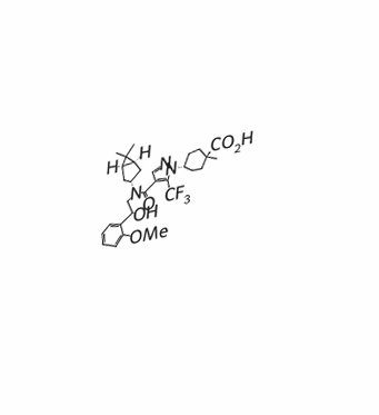 COc1ccccc1C(O)CN(C(=O)c1cnn([C@H]2CC[C@](C)(C(=O)O)CC2)c1C(F)(F)F)[C@@H]1C[C@@H]2[C@H](C1)C2(C)C